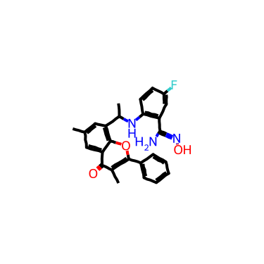 Cc1cc(C(C)Nc2ccc(F)cc2C(N)=NO)c2oc(-c3ccccc3)c(C)c(=O)c2c1